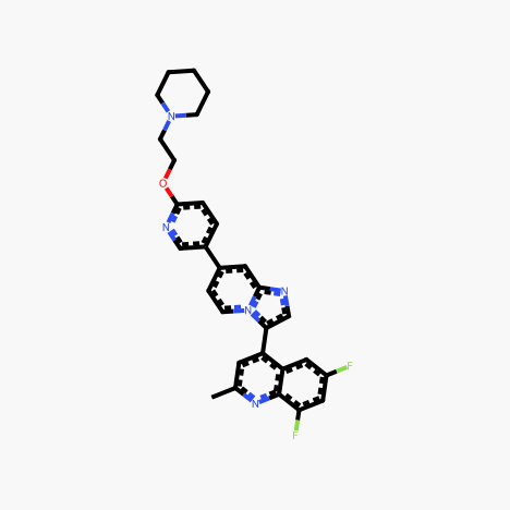 Cc1cc(-c2cnc3cc(-c4ccc(OCCN5CCCCC5)nc4)ccn23)c2cc(F)cc(F)c2n1